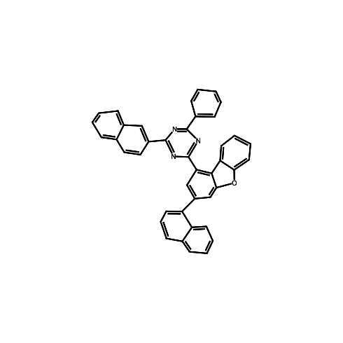 c1ccc(-c2nc(-c3ccc4ccccc4c3)nc(-c3cc(-c4cccc5ccccc45)cc4oc5ccccc5c34)n2)cc1